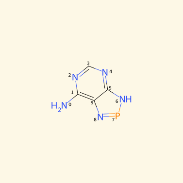 Nc1ncnc2[nH]pnc12